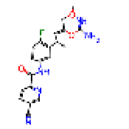 COC/C(=C/[C@@H](C)c1cc(NC(=O)c2ccc(C#N)cn2)ccc1F)OC(=N)N